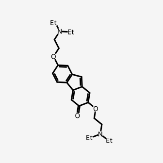 CCN(CC)CCOC1=CC2=Cc3cc(OCCN(CC)CC)ccc3C2=CC1=O